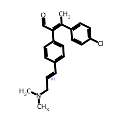 CC(=C(C=O)c1ccc(/C=C/CN(C)C)cc1)c1ccc(Cl)cc1